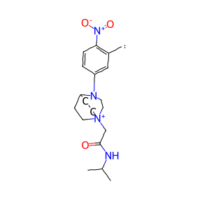 [CH]c1cc(N2CC[N+]3(CC(=O)NC(C)C)CCC2CC3)ccc1[N+](=O)[O-]